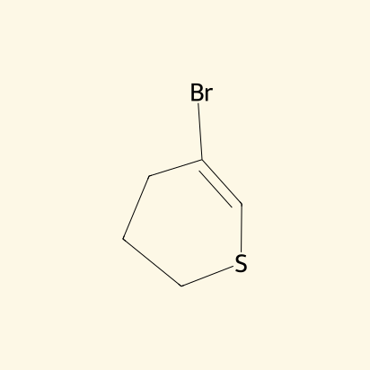 BrC1=CSCCC1